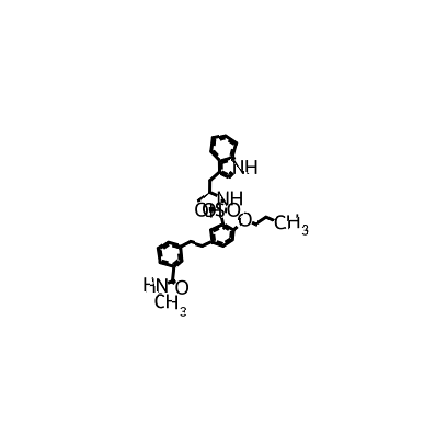 CCCOc1ccc(CCc2cccc(C(=O)NC)c2)cc1S(=O)(=O)N[C@@H](CO)Cc1c[nH]c2ccccc12